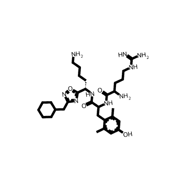 Cc1cc(O)cc(C)c1CC(NC(=O)C(N)CCCNC(=N)N)C(=O)N[C@@H](CCCCN)c1nc(CC2CCCCC2)no1